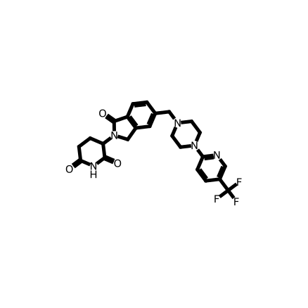 O=C1CCC(N2Cc3cc(CN4CCN(c5ccc(C(F)(F)F)cn5)CC4)ccc3C2=O)C(=O)N1